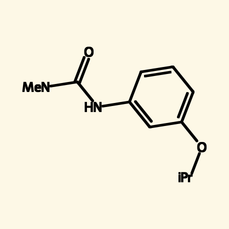 CNC(=O)Nc1cccc(OC(C)C)c1